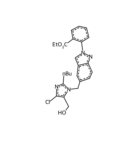 CCCCc1nc(Cl)c(CO)n1Cc1ccc2nn(-c3ccccc3C(=O)OCC)cc2c1